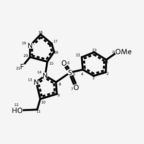 COc1ccc(S(=O)(=O)c2cc(CO)nn2-c2cccnc2F)cc1